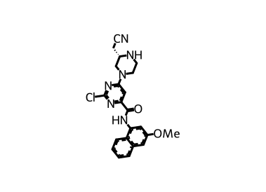 COc1cc(NC(=O)c2cc(N3CCN[C@@H](CC#N)C3)nc(Cl)n2)c2ccccc2c1